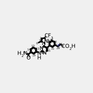 CC1=CC(C(F)(F)F)NN1c1nc(Nc2cccc(C(N)=O)c2)ncc1-c1cccc(/C=C/C(=O)O)c1